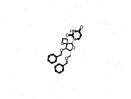 O=c1ccn([C@@H]2O[C@H](COCc3ccccc3)[C@@H](OCc3ccccc3)[C@@]23CCO3)c(=O)[nH]1